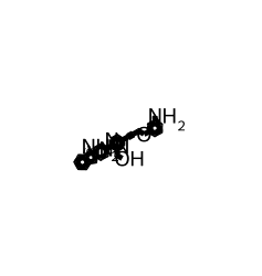 Nc1cccc(OCC#Cc2cnc(N3CCC4(CC3)Cc3ccccc3[C@H]4N)c(CO)n2)c1